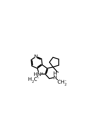 [CH2-][NH+]1CC2=C(c3cnccc3[NH+]2[CH2-])C2(CCCC2)C1